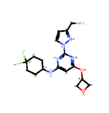 FCc1ccn(-c2nc(NC3CCC(F)(F)CC3)cc(OC3COC3)n2)n1